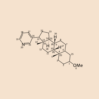 COC1CC[C@@]2(C)C(CC[C@@H]3[C@H]2CC[C@]2(C)C(c4cccnc4)CC[C@@H]32)C1